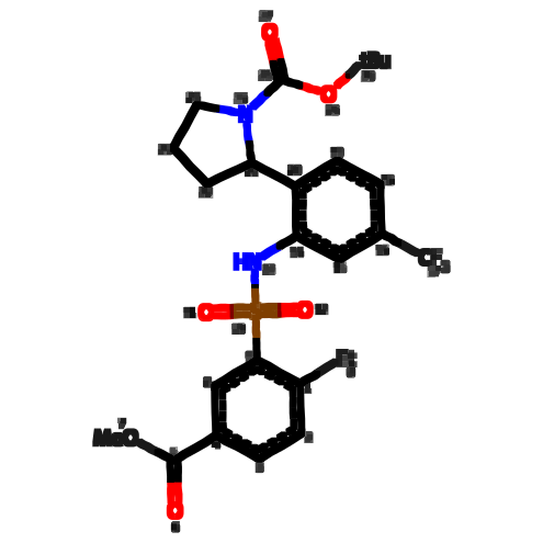 CCc1ccc(C(=O)OC)cc1S(=O)(=O)Nc1cc(C(F)(F)F)ccc1C1CCCN1C(=O)OC(C)(C)C